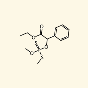 CCOC(=O)C(OP(=S)(OC)SC)c1ccccc1